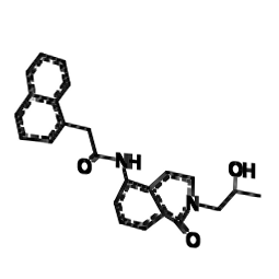 CC(O)Cn1ccc2c(NC(=O)Cc3cccc4ccccc34)cccc2c1=O